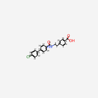 O=C(O)c1ccc(CCNC(=O)c2ccc(-c3ccc(Cl)cc3)cc2)cc1